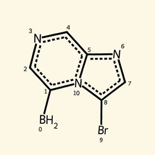 Bc1cncc2ncc(Br)n12